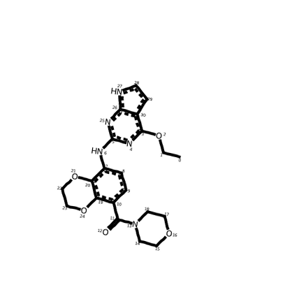 CCOc1nc(Nc2ccc(C(=O)N3CCOCC3)c3c2OCCO3)nc2[nH]ccc12